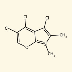 Cc1c(Cl)c2c(Cl)c(Cl)coc-2[si]1C